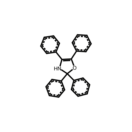 c1ccc(C2=C(c3ccccc3)OC(c3ccccc3)(c3ccccc3)N2)cc1